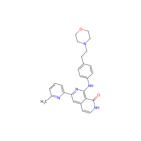 Cc1cccc(-c2cc3cc[nH]c(=O)c3c(Nc3ccc(CCN4CCOCC4)cc3)n2)n1